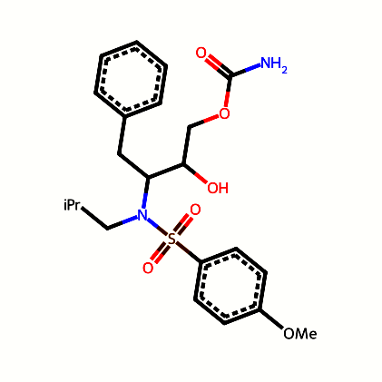 COc1ccc(S(=O)(=O)N(CC(C)C)C(Cc2ccccc2)C(O)COC(N)=O)cc1